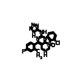 Cc1cc(F)ccc1-c1nc(Nc2nnn[nH]2)nc2c1CNC[N+]2([O-])c1ccccc1Cl